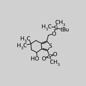 CC1(C)Cc2c(CO[Si](C)(C)C(C)(C)C)sc(S(C)(=O)=O)c2C(O)C1